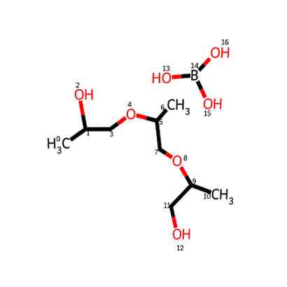 CC(O)COC(C)COC(C)CO.OB(O)O